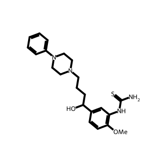 COc1ccc(C(O)CCCN2CCN(c3ccccc3)CC2)cc1NC(N)=S